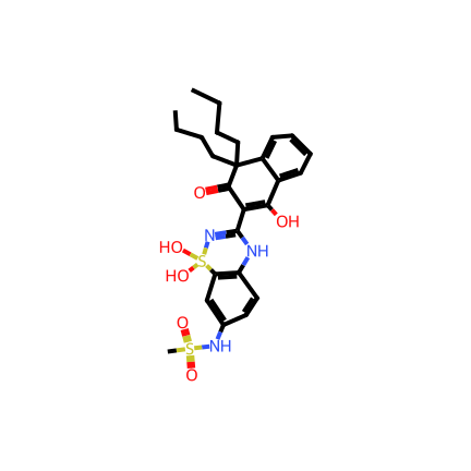 CCCCC1(CCCC)C(=O)C(C2=NS(O)(O)c3cc(NS(C)(=O)=O)ccc3N2)=C(O)c2ccccc21